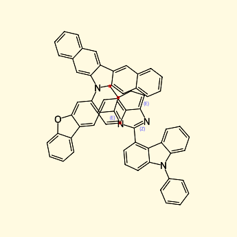 CC1C/C=C(c2ccccc2)/N=C(c2cccc3c2c2ccccc2n3-c2ccccc2)\N=C/1c1cc2c(cc1-n1c3cc4ccccc4cc3c3cc4ccccc4cc31)oc1ccccc12